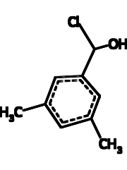 Cc1cc(C)cc(C(O)Cl)c1